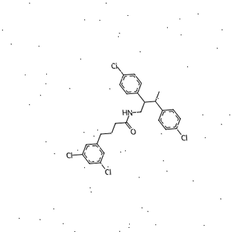 CC(c1ccc(Cl)cc1)C(CNC(=O)CCCc1cc(Cl)cc(Cl)c1)c1ccc(Cl)cc1